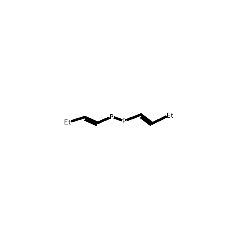 CCC=C[P][P]C=CCC